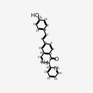 O=c1c2ccc(C=Cc3ccc(O)cc3)cc2cnn1-c1ccccn1